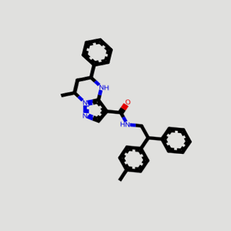 Cc1ccc(C(CNC(=O)c2cnn3c2NC(c2ccccc2)CC3C)c2ccccc2)cc1